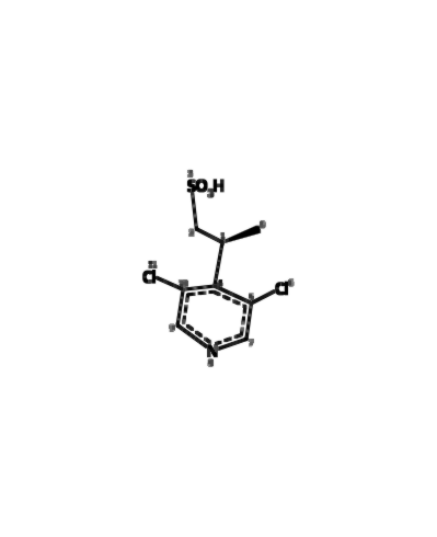 C[C@H](CS(=O)(=O)O)c1c(Cl)cncc1Cl